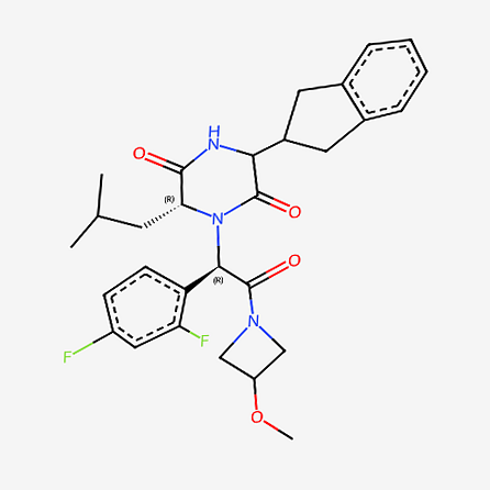 COC1CN(C(=O)[C@@H](c2ccc(F)cc2F)N2C(=O)C(C3Cc4ccccc4C3)NC(=O)[C@H]2CC(C)C)C1